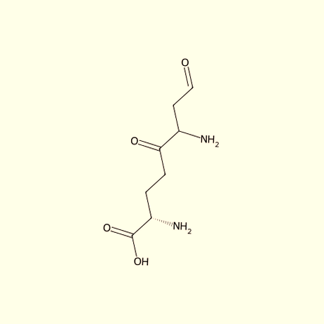 NC(CC=O)C(=O)CC[C@H](N)C(=O)O